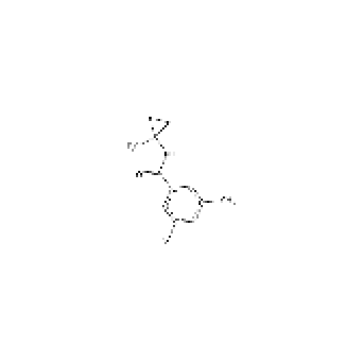 Cc1cc(Br)cc(C(=O)NC2(C(F)(F)F)CC2)c1